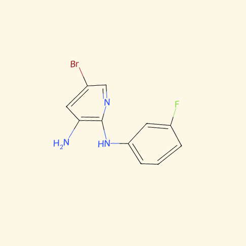 Nc1cc(Br)cnc1Nc1cccc(F)c1